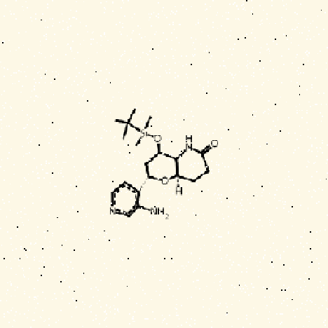 CC(C)(C)[Si](C)(C)O[C@@H]1C[C@@H](c2ccncc2N)O[C@@H]2CCC(=O)NC21